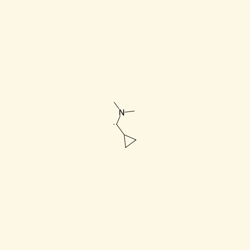 CN(C)[CH]C1CC1